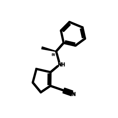 C[C@H](NC1=C(C#N)CCC1)c1ccccc1